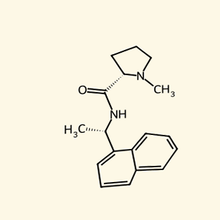 C[C@H](NC(=O)[C@@H]1CCCN1C)c1cccc2ccccc12